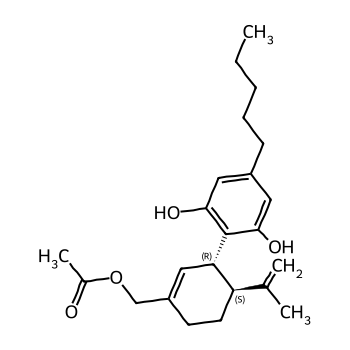 C=C(C)[C@H]1CCC(COC(C)=O)=C[C@@H]1c1c(O)cc(CCCCC)cc1O